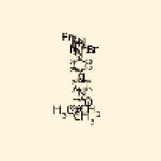 CC(C)(C)OC(=O)N1CCN(c2ccc(-n3nc(Br)nc3Br)cc2)CC1